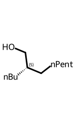 CCCCCC[C@@H](CO)CCCC